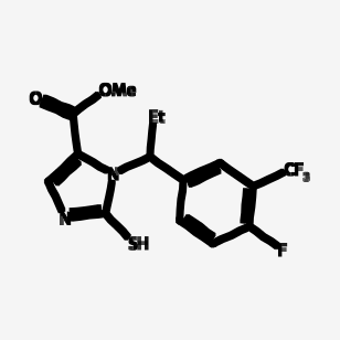 CCC(c1ccc(F)c(C(F)(F)F)c1)n1c(C(=O)OC)cnc1S